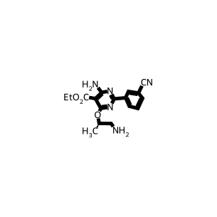 CCOC(=O)c1c(N)nc(-c2cccc(C#N)c2)nc1O[C@@H](C)CN